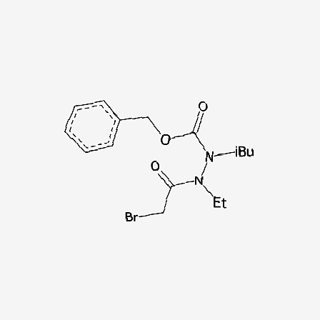 CCC(C)N(C(=O)OCc1ccccc1)N(CC)C(=O)CBr